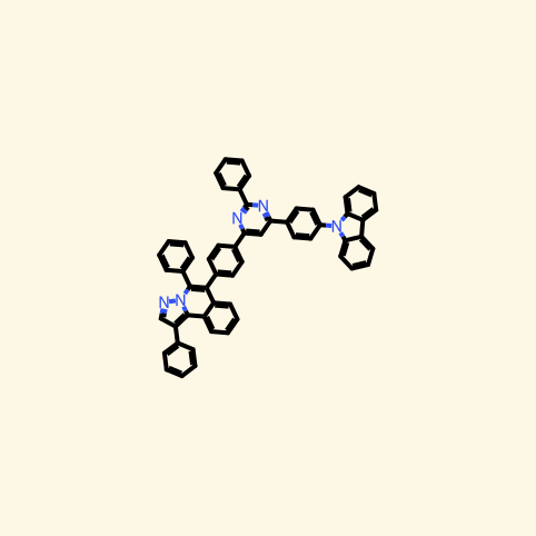 c1ccc(-c2nc(-c3ccc(-c4c(-c5ccccc5)n5ncc(-c6ccccc6)c5c5ccccc45)cc3)cc(-c3ccc(-n4c5ccccc5c5ccccc54)cc3)n2)cc1